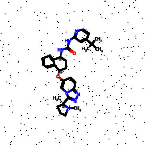 CN1CCC[C@@]1(C)c1nnc2ccc(O[C@@H]3CC[C@H](NC(=O)Nc4cc(C(C)(C)C)ccn4)c4ccccc43)cn12